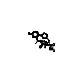 C[C@@H](N[S@+]([O-])C(C)(C)C)c1cc(F)ccc1N1CC[C@H](COC(N)=O)C1